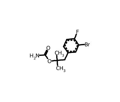 CC(C)(Cc1ccc(F)c(Br)c1)OC(N)=O